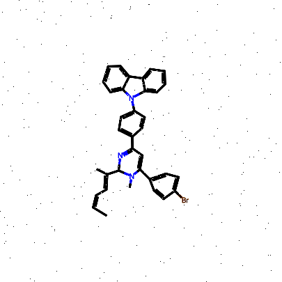 C/C=C\C=C(/C)C1N=C(c2ccc(-n3c4ccccc4c4ccccc43)cc2)C=C(c2ccc(Br)cc2)N1C